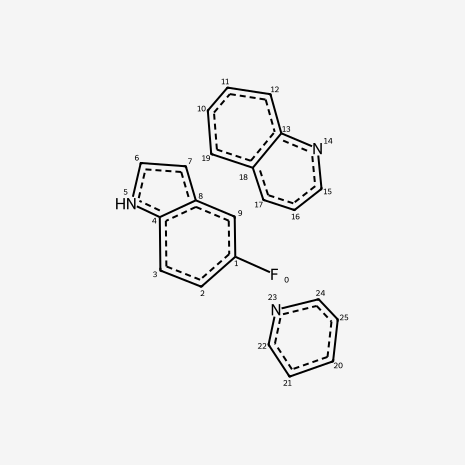 Fc1ccc2[nH]ccc2c1.c1ccc2ncccc2c1.c1ccncc1